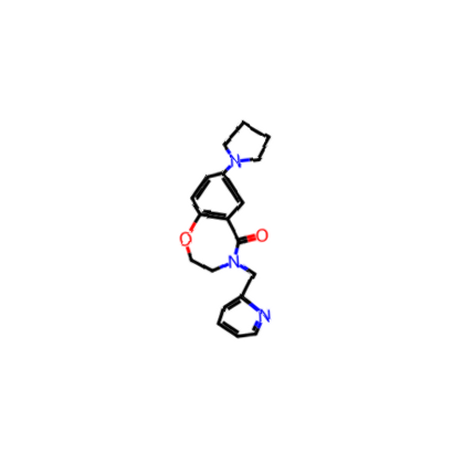 O=C1c2cc(N3CCCC3)ccc2OCCN1Cc1ccccn1